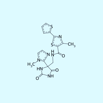 Cc1nc(-c2cccs2)sc1C(=O)NCC1(c2nccn2C)NC(=O)NC1=O